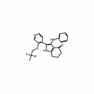 O=C1CCCc2[nH]c(-c3ccncc3OCC(F)(F)F)c(Nc3ccccc3)c21